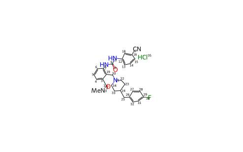 CNC(=O)c1cccc(NC(=O)Nc2cccc(C#N)c2)c1CN1CCC(Cc2ccc(F)cc2)CC1.Cl